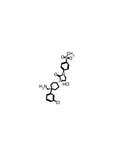 CS(=O)(=O)c1ccc(N2CCN([C@H]3CC[C@@](CN)(c4cccc(Cl)c4)CC3)C2=O)cc1.Cl